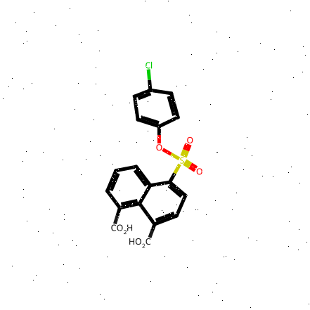 O=C(O)c1cccc2c(S(=O)(=O)Oc3ccc(Cl)cc3)ccc(C(=O)O)c12